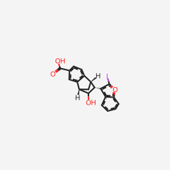 O=C(O)c1ccc2c(c1)[C@@H]1C[C@H]2[C@H](c2c(I)oc3ccccc23)C1O